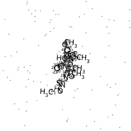 CCCC(=O)c1nc(CN2CCN([C@H](C(=O)N[C@@H](Cc3ccccc3)[C@H](O)CN(CC(C)C)S(=O)(=O)c3ccc(OC)cc3)C(C)C)C2=O)cs1